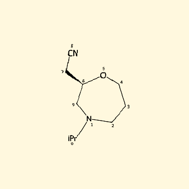 CC(C)N1CCCO[C@H](CC#N)C1